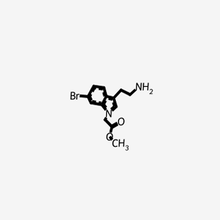 COC(=O)Cn1cc(CCN)c2ccc(Br)cc21